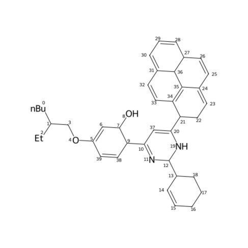 CCCCC(CC)COC1=CC(O)C(C2=NC(C3C=CCCC3)NC(C3CC=C4C=CC5C=CC=C6C=CC3=C4C65)=C2)C=C1